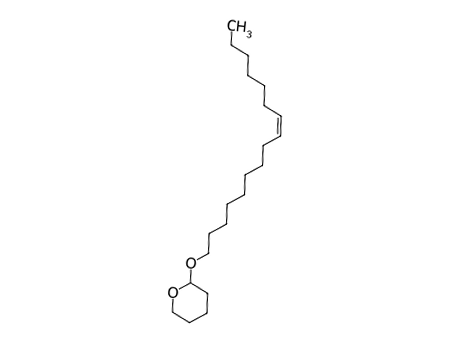 CCCCCC/C=C\CCCCCCCCOC1CCCCO1